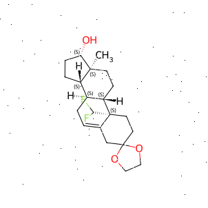 C[C@]12CC[C@H]3[C@@H](CC=C4CC5(CC[C@@]43C(F)F)OCCO5)[C@@H]1CC[C@@H]2O